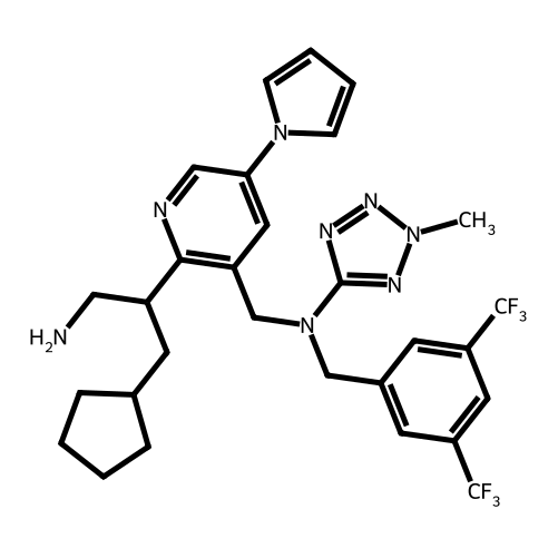 Cn1nnc(N(Cc2cc(C(F)(F)F)cc(C(F)(F)F)c2)Cc2cc(-n3cccc3)cnc2C(CN)CC2CCCC2)n1